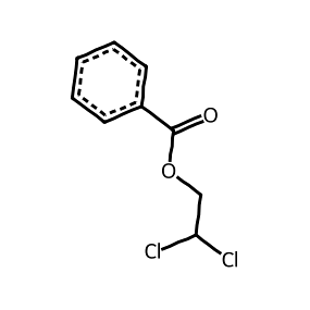 O=C(OCC(Cl)Cl)c1ccccc1